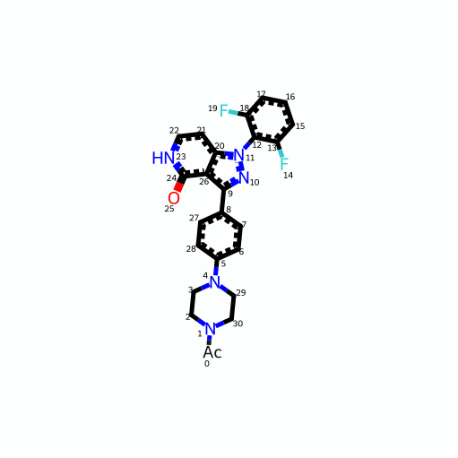 CC(=O)N1CCN(c2ccc(-c3nn(-c4c(F)cccc4F)c4cc[nH]c(=O)c34)cc2)CC1